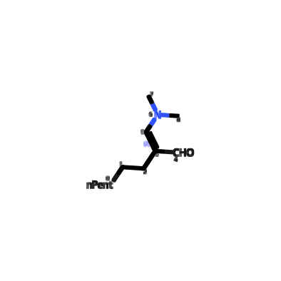 CCCCCCC/C(C=O)=C/N(C)C